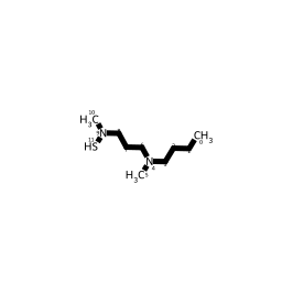 CCCCN(C)CCCN(C)S